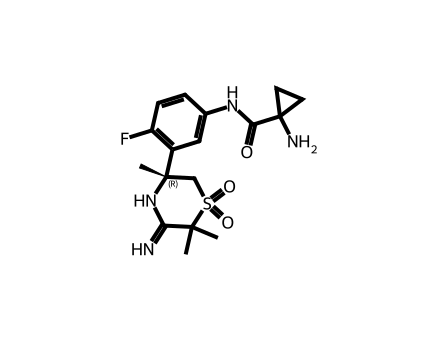 CC1(C)C(=N)N[C@](C)(c2cc(NC(=O)C3(N)CC3)ccc2F)CS1(=O)=O